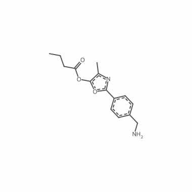 CCCC(=O)Oc1oc(-c2ccc(CN)cc2)nc1C